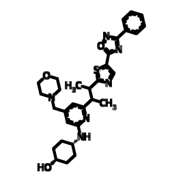 CC(c1cc(CN2CCOCC2)cc(N[C@H]2CC[C@H](O)CC2)n1)C(C)c1ncc(-c2nc(-c3ccccc3)no2)s1